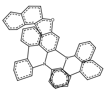 c1ccc(-c2ccccc2N(c2ccccc2)c2cc3oc4ccc5ccccc5c4c3cc2N(c2ccccc2)c2ccccc2-c2ccccc2)cc1